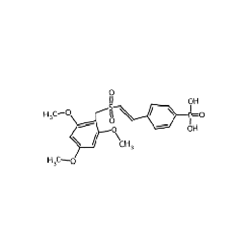 COc1cc(OC)c(CS(=O)(=O)C=Cc2ccc(P(=O)(O)O)cc2)c(OC)c1